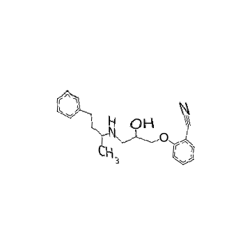 CC(CCc1ccccc1)NCC(O)COc1ccccc1C#N